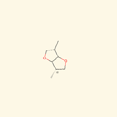 CC1COC2C1OC[C@@H]2C